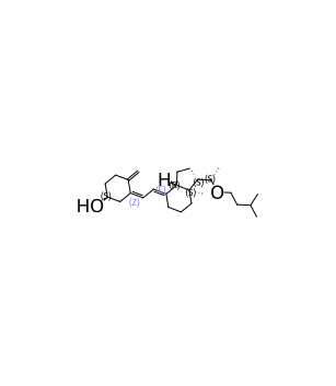 C=C1CC[C@H](O)C/C1=C/C=C1\CCC[C@]2(C)[C@@H]([C@H](C)OCCC(C)C)CC[C@@H]12